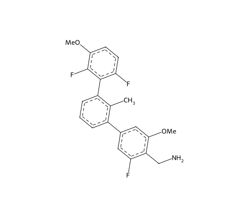 COc1ccc(F)c(-c2cccc(-c3cc(F)c(CN)c(OC)c3)c2C)c1F